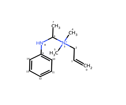 C=CC[N+](C)(C)C(C)Nc1ccccc1